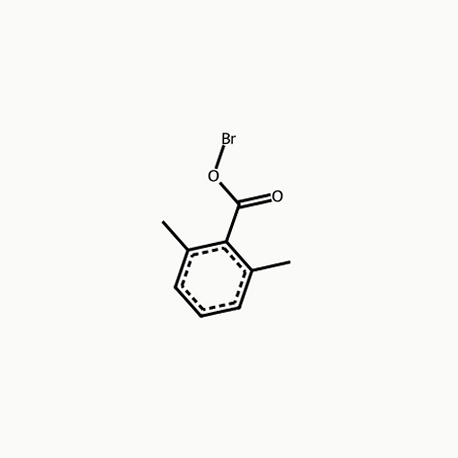 Cc1cccc(C)c1C(=O)OBr